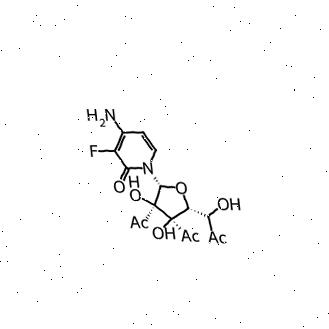 CC(=O)C(O)[C@H]1O[C@@H](n2ccc(N)c(F)c2=O)[C@@](O)(C(C)=O)[C@@]1(O)C(C)=O